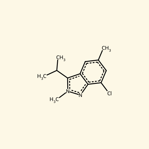 Cc1cc(Cl)c2nn(C)c(C(C)C)c2c1